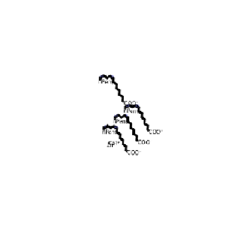 CCCCC/C=C\C/C=C\CCCCCCCC(=O)[O-].CCCCC/C=C\C/C=C\CCCCCCCC(=O)[O-].CCCCC/C=C\C/C=C\CCCCCCCC(=O)[O-].CCCCC/C=C\C/C=C\CCCCCCCC(=O)[O-].[Ca+2].[Zn+2]